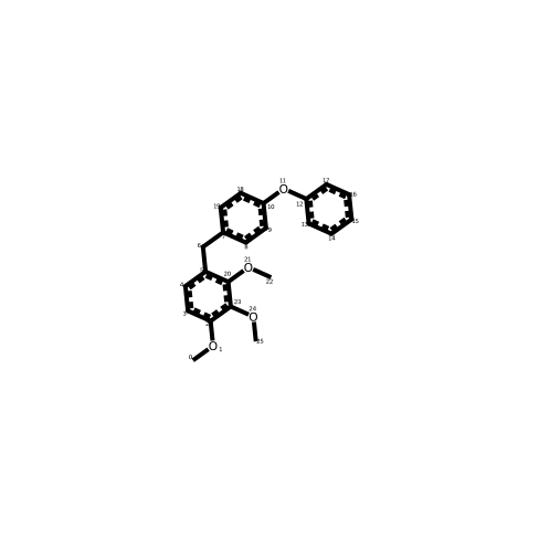 COc1c[c]c(Cc2ccc(Oc3ccccc3)cc2)c(OC)c1OC